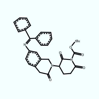 CC(C)(C)OC(=O)N1C(=O)CCC(N2Cc3cc(N=C(c4ccccc4)c4ccccc4)ccc3CC2=O)C1=O